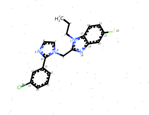 CCCn1c(Cn2ccnc2-c2cccc(Cl)c2)nc2cc(F)ccc21